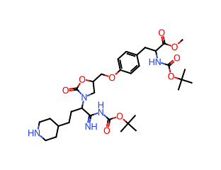 COC(=O)C(Cc1ccc(OCC2CN(C(CCC3CCNCC3)C(=N)NC(=O)OC(C)(C)C)C(=O)O2)cc1)NC(=O)OC(C)(C)C